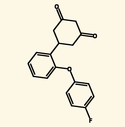 O=C1CC(=O)CC(c2ccccc2Oc2ccc(F)cc2)C1